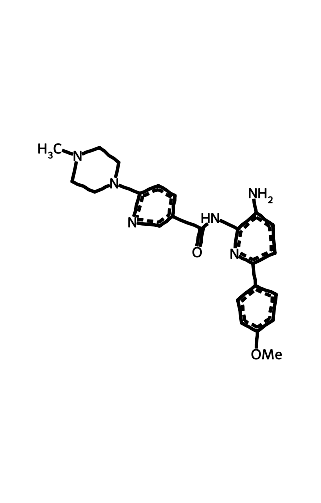 COc1ccc(-c2ccc(N)c(NC(=O)c3ccc(N4CCN(C)CC4)nc3)n2)cc1